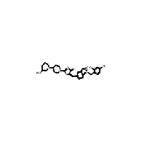 O=C1N=C(N2CCC(N3CCCC(O)C3)CC2)SC1=Cc1ccc2c(cnn2Cc2ccc(Cl)cc2C(F)(F)F)c1